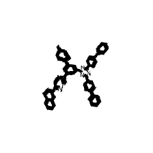 Cc1ccc(-c2cc(-c3ccc(-c4ccc5ccccc5c4)nc3)cc(-c3nc(-c4ccc(-c5ccccc5)cc4)nc(-c4ccc(-c5ccccc5)cc4)n3)c2)cc1